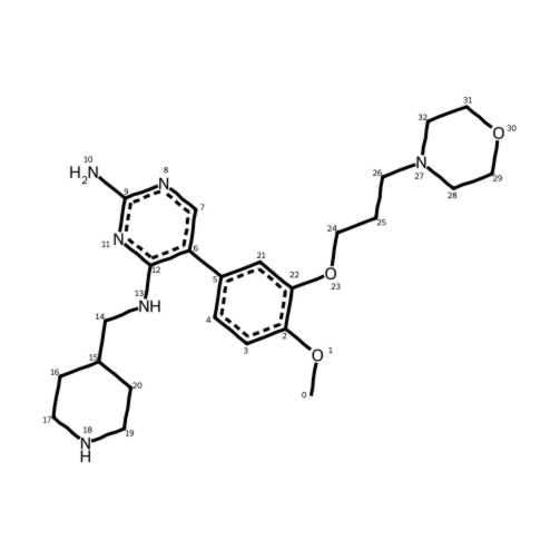 COc1ccc(-c2cnc(N)nc2NCC2CCNCC2)cc1OCCCN1CCOCC1